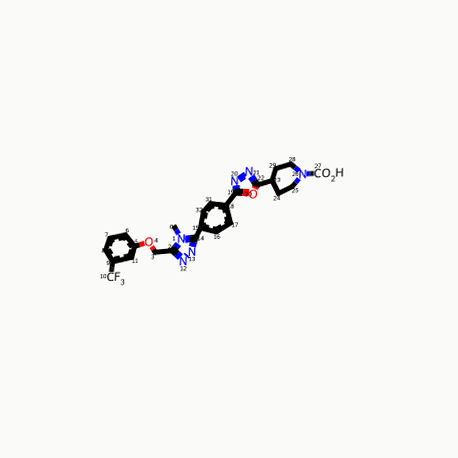 Cn1c(COc2cccc(C(F)(F)F)c2)nnc1-c1ccc(-c2nnc(C3CCN(C(=O)O)CC3)o2)cc1